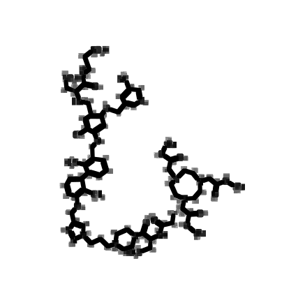 Cc1c(COc2cc(OCc3cncc(C#N)c3)c(CN[C@@H](CS(=O)(=O)O)C(=O)NCCS(=O)(=O)O)cc2Cl)cccc1-c1cccc(OCc2cn(CCCN3CCN(C(=O)[C@H](CS(=O)(=O)O)NC(=O)CC[C@@H](C(=O)OC(C)(C)C)N4CCN(CC(=O)OC(C)(C)C)CCN(CC(=O)OC(C)(C)C)CC4)CC3)nn2)c1C